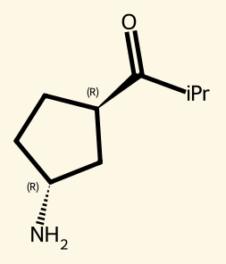 CC(C)C(=O)[C@@H]1CC[C@@H](N)C1